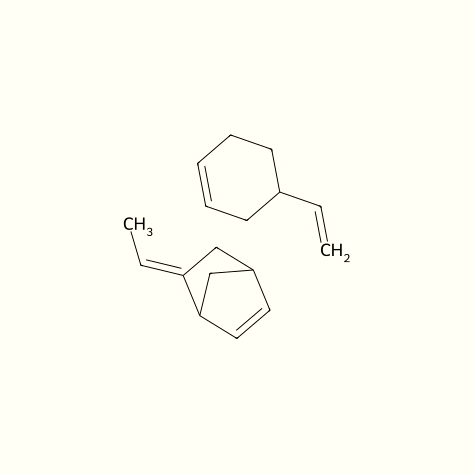 C=CC1CC=CCC1.CC=C1CC2C=CC1C2